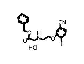 Cl.N#Cc1ccc(I)c(OCCNCC(=O)OCc2ccccc2)c1